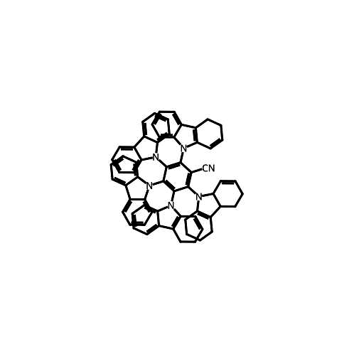 N#Cc1c(N2C3=C(CCCC3)C3CCC=CC32)c(-n2c3c(c4ccccc42)CCC=C3)c(-n2c3ccccc3c3ccccc32)c(-n2c3ccccc3c3ccccc32)c1-n1c2c(c3ccccc31)CCC=C2